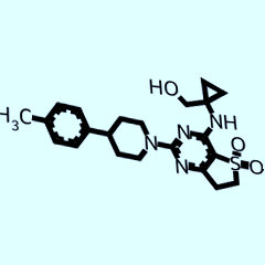 Cc1ccc(C2CCN(c3nc4c(c(NC5(CO)CC5)n3)S(=O)(=O)CC4)CC2)cc1